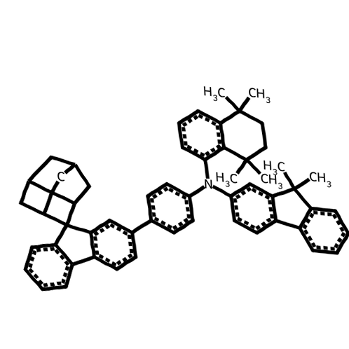 CC1(C)CCC(C)(C)c2c(N(c3ccc(-c4ccc5c(c4)C4(c6ccccc6-5)C5CC6CC7CC4C75C6)cc3)c3ccc4c(c3)C(C)(C)c3ccccc3-4)cccc21